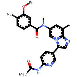 CCOc1cc(C(=O)N(C)c2cc(C)c3ncc(-c4ccc(NC(=O)OC)nc4)n3c2)ccc1C#N